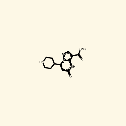 COC(=O)c1cnn2c(C3CCNCC3)cc(=O)[nH]c12